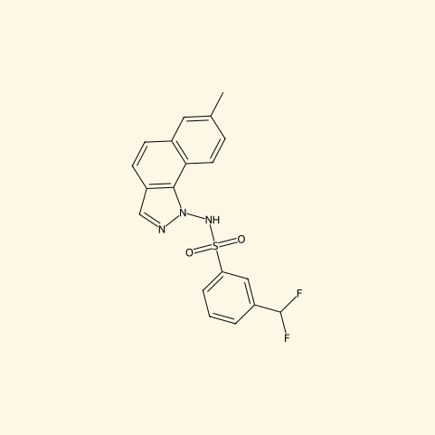 Cc1ccc2c(ccc3cnn(NS(=O)(=O)c4cccc(C(F)F)c4)c32)c1